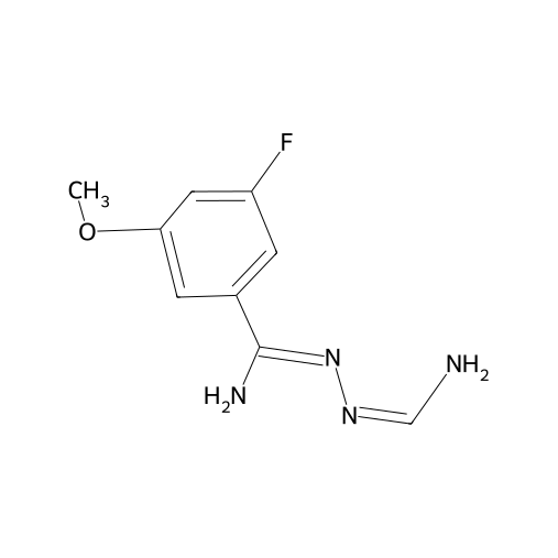 COc1cc(F)cc(/C(N)=N/N=C\N)c1